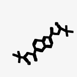 CC(C)(C)C(=O)CC(=O)c1ccc2cc(C(=O)CC(=O)C(C)(C)C)ccc2c1